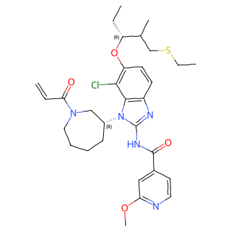 C=CC(=O)N1CCCC[C@@H](n2c(NC(=O)c3ccnc(OC)c3)nc3ccc(O[C@H](CC)C(C)CSCC)c(Cl)c32)C1